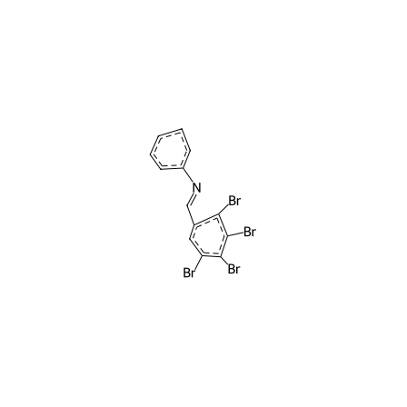 Brc1cc(C=Nc2ccccc2)c(Br)c(Br)c1Br